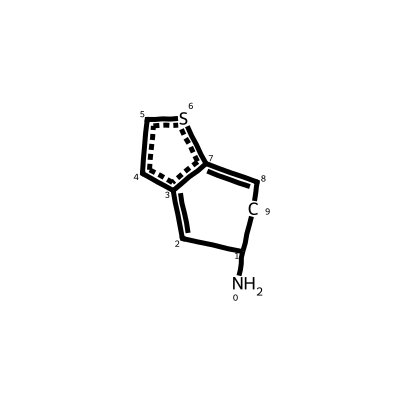 NC1C=c2ccsc2=CC1